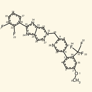 COc1ccc(-c2ccc(Cn3cc4nc(-c5cccc(F)c5F)nc-4cn3)nc2)c(C(F)(F)F)c1